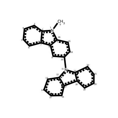 Cn1c2ccccc2c2cc(-n3c4ccccc4c4ccccc43)ccc21